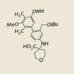 COc1cc(-c2ccc(NC3(C(=O)O)CCOCC3)cc2COCC(C)C)c(C)c(OC)c1C